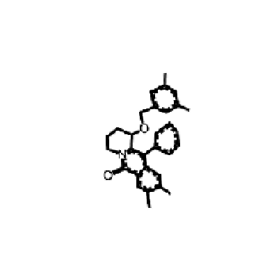 Cc1cc(C)cc(COC2CCCn3c2c(-c2ccccc2)c2cc(C)c(C)cc2c3=O)c1